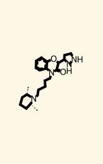 C[C@@H]1CCC[C@H](C)N1CCCCCN1C(=O)C(C2CCNN2)Oc2ccccc21